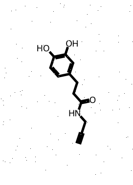 C#CCNC(=O)CCc1ccc(O)c(O)c1